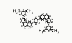 Cc1cc(C)cc(-c2ccc3ccc4ccc(-c5ccc(-c6ccc7ccc8ccc(-c9cc(C)cc(C)c9)nc8c7n6)cc5)nc4c3n2)c1